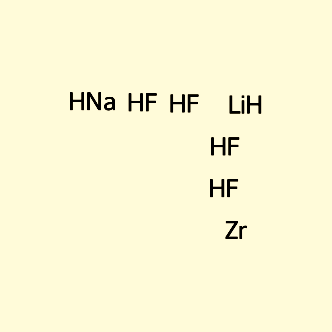 F.F.F.F.[LiH].[NaH].[Zr]